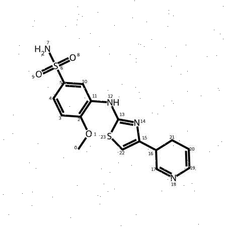 COc1ccc(S(N)(=O)=O)cc1Nc1nc(C2C=NC=CC2)cs1